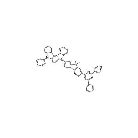 CC1(C)c2cc(-c3nc(-c4ccccc4)cc(-c4ccccc4)n3)ccc2-c2ccc(-n3c4ccccc4c4c5c6ccccc6n(-c6ccccc6)c5ccc43)cc21